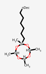 CCCCCCCCCCCCCCCC[Si]1(C)O[SiH](C)O[SiH](C)O[SiH](C)O1